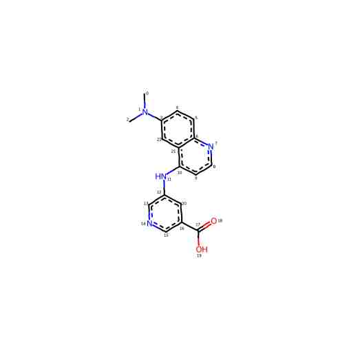 CN(C)c1ccc2nccc(Nc3cncc(C(=O)O)c3)c2c1